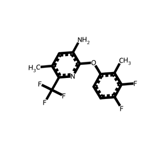 Cc1cc(N)c(Oc2ccc(F)c(F)c2C)nc1C(F)(F)F